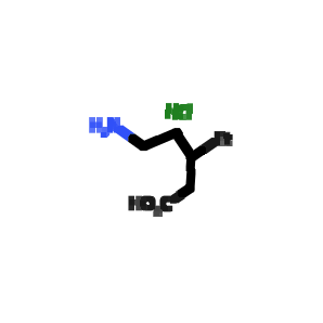 CCC(CCN)CC(=O)O.Cl